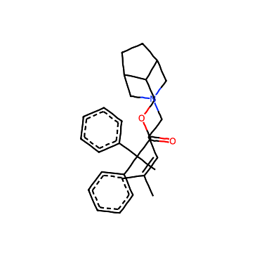 CC(C)=CCCN1CC2CCC(C1)C2COC(=O)C(C)(c1ccccc1)c1ccccc1